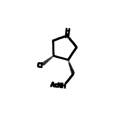 CC(=O)NC[C@H]1CNC[C@H]1Cl